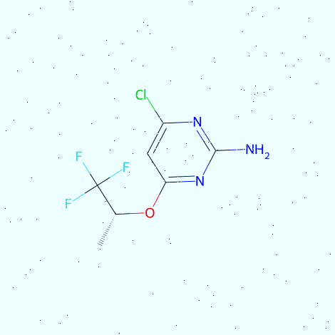 C[C@@H](Oc1cc(Cl)nc(N)n1)C(F)(F)F